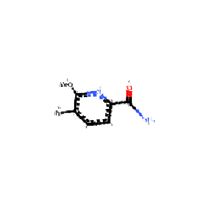 COc1nc(C(N)=O)ccc1C(C)C